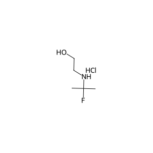 CC(C)(F)NCCO.Cl